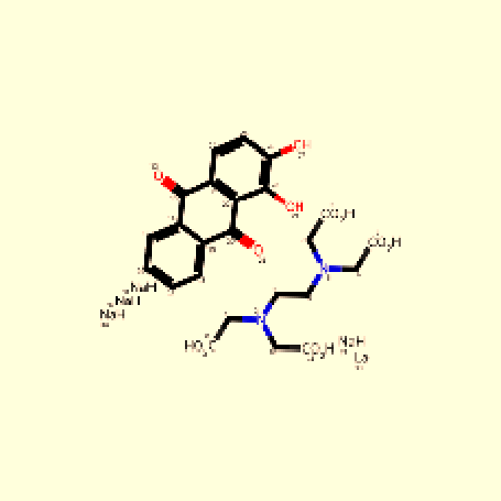 O=C(O)CN(CCN(CC(=O)O)CC(=O)O)CC(=O)O.O=C1c2ccccc2C(=O)c2c1ccc(O)c2O.[La].[NaH].[NaH].[NaH].[NaH]